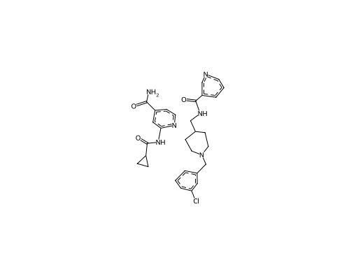 NC(=O)c1ccnc(NC(=O)C2CC2)c1.O=C(NCC1CCN(Cc2cccc(Cl)c2)CC1)c1cccnc1